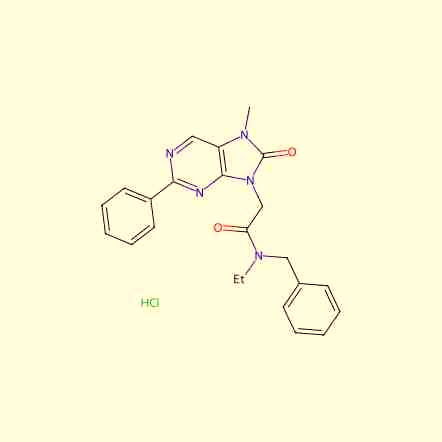 CCN(Cc1ccccc1)C(=O)Cn1c(=O)n(C)c2cnc(-c3ccccc3)nc21.Cl